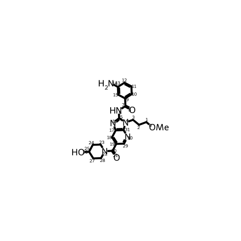 COCCCn1c(NC(=O)c2cccc(N)c2)nc2cc(C(=O)N3CCC(O)CC3)cnc21